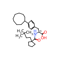 CC(C)(C)CCC1(C(=O)N[C@@H](Cc2ccc(C3CCCCCCCC3)cc2)C(=O)O)CCCC1